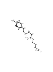 CCCCCC1CCC(CCc2ccc(F)nc2)CC1